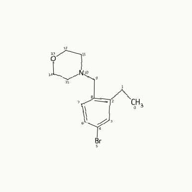 CCc1cc(Br)ccc1CN1CCOCC1